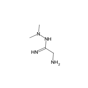 CN(C)NC(=N)CN